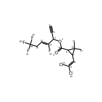 C#CC(OC(=O)C1C(C=C(Cl)Cl)C1(C)C)C(F)=CCC(F)(F)F